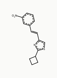 O=[N+]([O-])c1cccc(/C=C/c2csc(C3CCC3)n2)c1